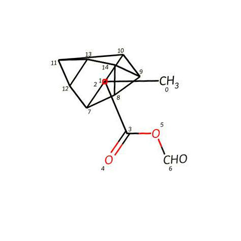 CC1C(C(=O)OC=O)C2C3C4C1C1C2C1C43